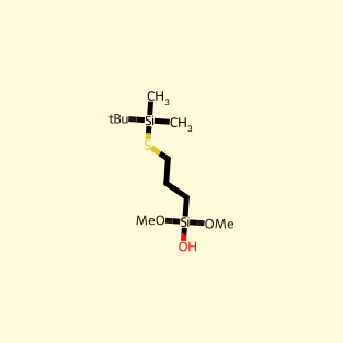 CO[Si](O)(CCCS[Si](C)(C)C(C)(C)C)OC